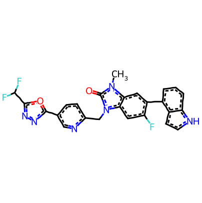 Cn1c(=O)n(Cc2ccc(-c3nnc(C(F)F)o3)cn2)c2cc(F)c(-c3cccc4[nH]ccc34)cc21